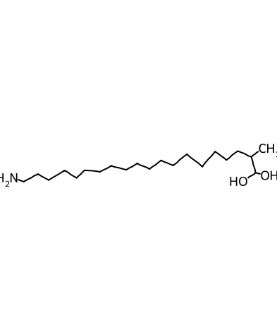 CC(CCCCCCCCCCCCCCCCCCN)C(O)O